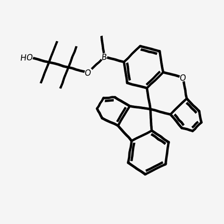 CB(OC(C)(C)C(C)(C)O)c1ccc2c(c1)C1(C3=C(CCC=C3)c3ccccc31)c1ccccc1O2